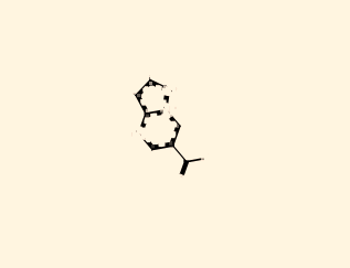 O=C(Cl)c1cnc2ccnn2c1